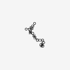 Cc1c(OC2CCC(OC[C@@H](C)N3CCN(c4ccc5c(-c6ccc(OCc7ccccc7)nc6OCc6ccccc6)nn(C)c5c4)CC3)CC2)cccc1B1OC(C)(C)C(C)(C)O1